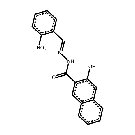 O=C(N/N=C/c1ccccc1[N+](=O)[O-])c1cc2ccccc2cc1O